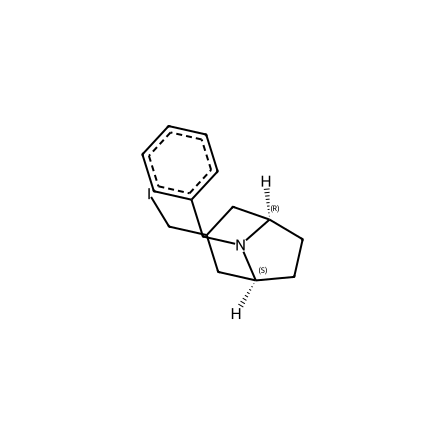 ICC1C[C@H]2CC[C@@H](C1)N2Cc1ccccc1